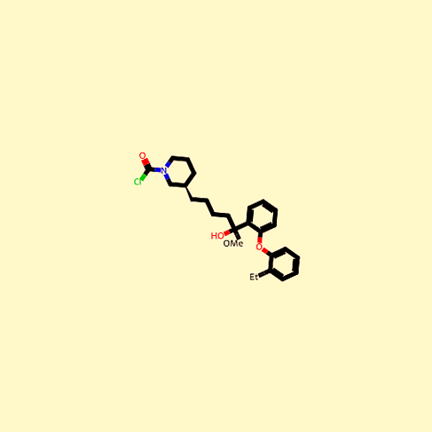 CCc1ccccc1Oc1ccccc1C(O)(CCCC[C@@H]1CCCN(C(=O)Cl)C1)OC